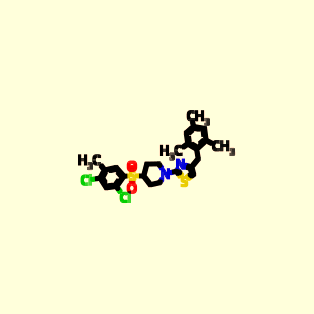 Cc1cc(C)c(Cc2csc(N3CCC(S(=O)(=O)c4cc(C)c(Cl)cc4Cl)CC3)n2)c(C)c1